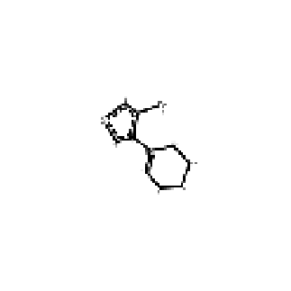 Brc1cscc1C1=CCCCC1